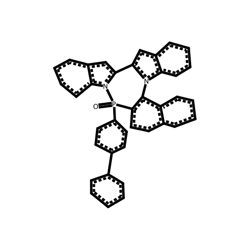 O=P1(c2ccc(-c3ccccc3)cc2)c2ccc3ccccc3c2-n2c(cc3ccccc32)-c2cc3ccccc3n21